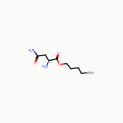 CCCCCCCCCCCCOC(=O)[C@@H](N)CC(N)=O